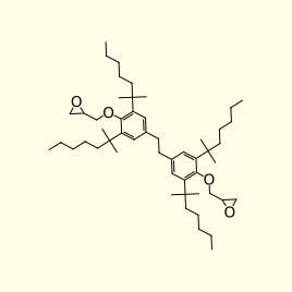 CCCCCC(C)(C)c1cc(CCc2cc(C(C)(C)CCCCC)c(OCC3CO3)c(C(C)(C)CCCCC)c2)cc(C(C)(C)CCCCC)c1OCC1CO1